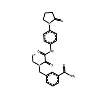 CC(C)CN(Cc1cccc(C(N)=O)c1)C(=O)C(=O)Nc1ccc(N2CCCC2=O)cc1